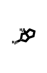 BC12CCCC1CN(C)C2